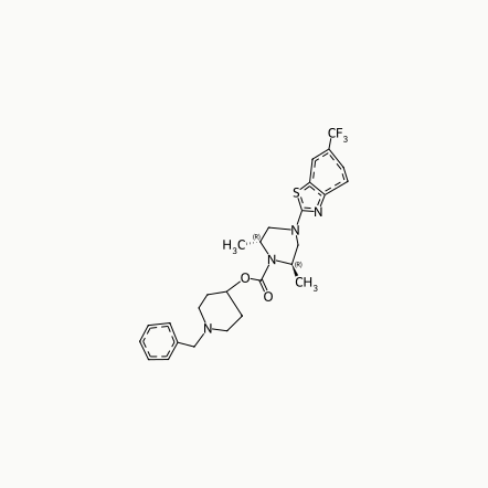 C[C@@H]1CN(c2nc3ccc(C(F)(F)F)cc3s2)C[C@@H](C)N1C(=O)OC1CCN(Cc2ccccc2)CC1